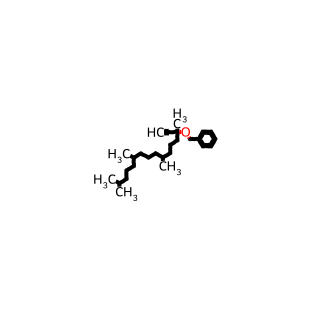 C#CC(C)(CCCC(C)CCCC(C)CCCC(C)C)OCc1ccccc1